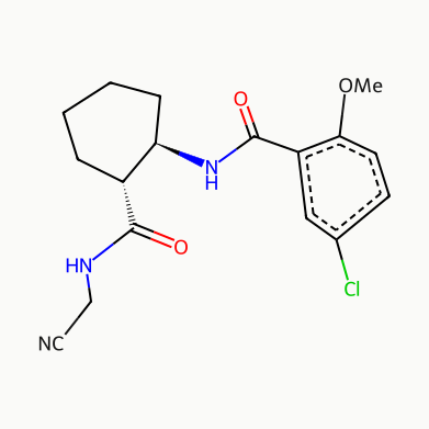 COc1ccc(Cl)cc1C(=O)N[C@@H]1CCCC[C@H]1C(=O)NCC#N